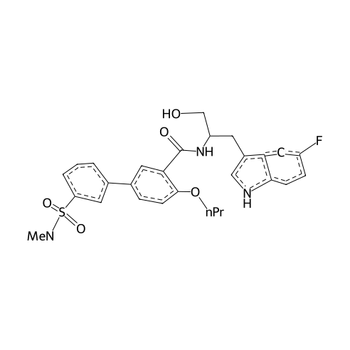 CCCOc1ccc(-c2cccc(S(=O)(=O)NC)c2)cc1C(=O)NC(CO)Cc1c[nH]c2ccc(F)cc12